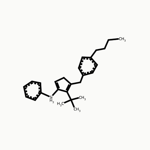 CCCCc1ccc(CC2=C(C(C)(C)C)C([SiH2]c3ccccc3)=CC2)cc1